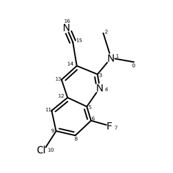 CN(C)c1nc2c(F)cc(Cl)cc2cc1C#N